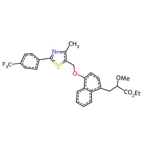 CCOC(=O)C(Cc1ccc(OCc2sc(-c3ccc(C(F)(F)F)cc3)nc2C)c2ccccc12)OC